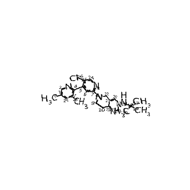 Cc1cnc(-c2cc(N3CCC4=NCN(NC(C)(C)C)C=C4C3)ncc2Cl)c(C)c1